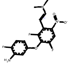 CN(C)/C=C/c1c([N+](=O)[O-])cc(F)c(Oc2ccc(F)c(N)c2)c1F